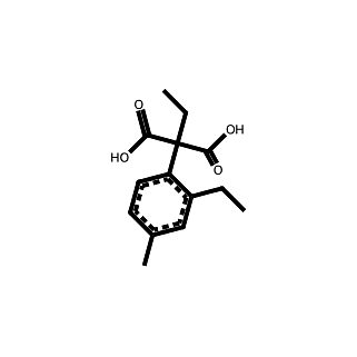 CCc1cc(C)ccc1C(CC)(C(=O)O)C(=O)O